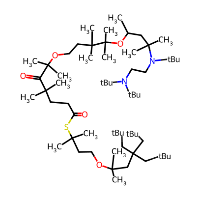 CC(CC(C)(C)N(CCN(C(C)(C)C)C(C)(C)C)C(C)(C)C)OC(C)(C)C(C)(C)CCOC(C)(C)C(=O)C(C)(C)CCC(=O)SC(C)(C)CCOC(C)(C)CC(CC(C)(C)C)(CC(C)(C)C)CC(C)(C)C